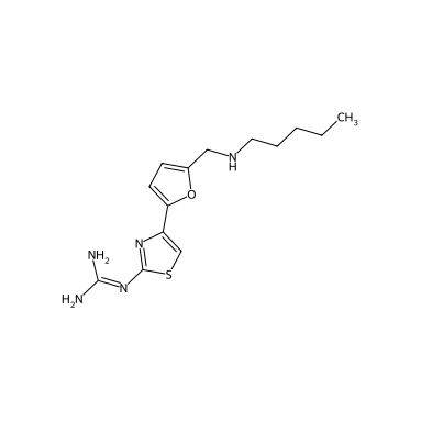 CCCCCNCc1ccc(-c2csc(N=C(N)N)n2)o1